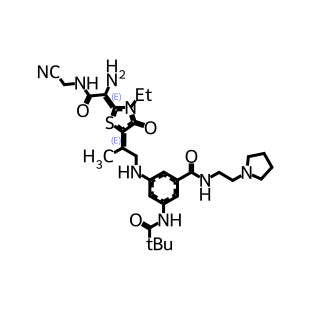 CCn1c(=O)/c(=C(/C)CNc2cc(NC(=O)C(C)(C)C)cc(C(=O)NCCN3CCCC3)c2)s/c1=C(/N)C(=O)NCC#N